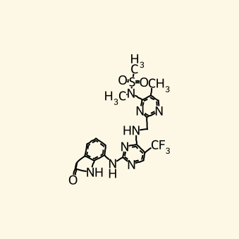 Cc1cnc(CNc2nc(Nc3cccc4c3NC(=O)C4)ncc2C(F)(F)F)nc1N(C)S(C)(=O)=O